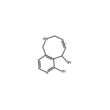 CC(C)c1nccc2c1C(C(C)C)/C=C\CNC2